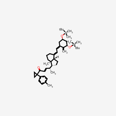 C=C1/C(=C\C=C2/CCC[C@]3(C)[C@@H]([C@H](C)/C=C/C(=O)C4(c5ccc(C)cc5)CC4)CC[C@@H]23)C[C@@H](O[Si](C)(C)C(C)(C)C)C[C@@H]1O[Si](C)(C)C(C)(C)C